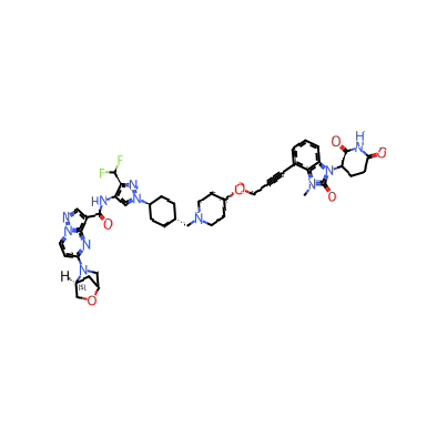 Cn1c(=O)n(C2CCC(=O)NC2=O)c2cccc(C#CCOC3CCN(C[C@H]4CC[C@H](n5cc(NC(=O)c6cnn7ccc(N8CC9C[C@H]8CO9)nc67)c(C(F)F)n5)CC4)CC3)c21